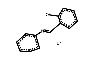 [Li+].[O-]c1ccccc1C=Nc1ccccc1